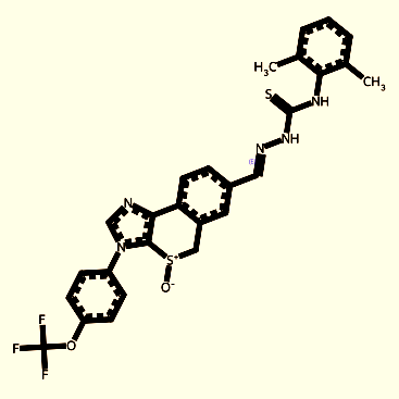 Cc1cccc(C)c1NC(=S)N/N=C/c1ccc2c(c1)C[S+]([O-])c1c-2ncn1-c1ccc(OC(F)(F)F)cc1